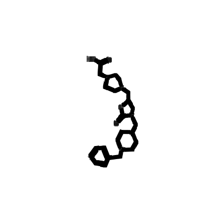 O=C(O)CN1CCN(CC2CN(CC3CCN(Cc4ccccc4)CC3)C(=O)O2)CC1